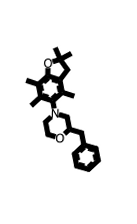 Cc1c(C)c(N2CCOC(Cc3ccccc3)C2)c(C)c2c1OC(C)(C)C2